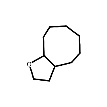 C1CCCC2CCO[C]2CC1